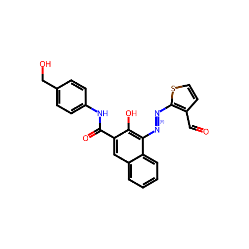 O=Cc1ccsc1/N=N/c1c(O)c(C(=O)Nc2ccc(CO)cc2)cc2ccccc12